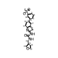 CS(=O)(=O)c1cccc(-c2ccc3nc(NC(=O)NCc4ccoc4)sc3c2)c1